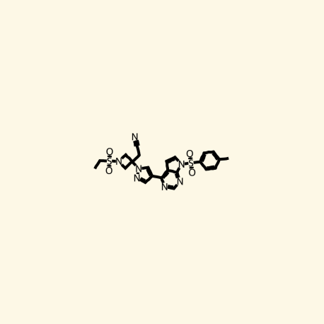 CCS(=O)(=O)N1CC(CC#N)(n2cc(-c3ncnc4c3ccn4S(=O)(=O)c3ccc(C)cc3)cn2)C1